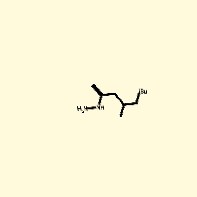 C=C(CC(C)CC(C)CC)NN